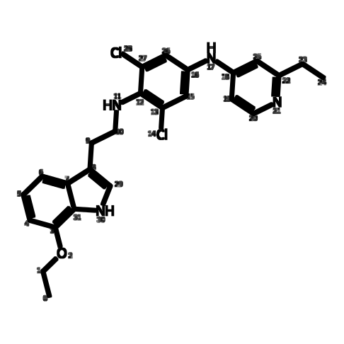 CCOc1cccc2c(CCNc3c(Cl)cc(Nc4ccnc(CC)c4)cc3Cl)c[nH]c12